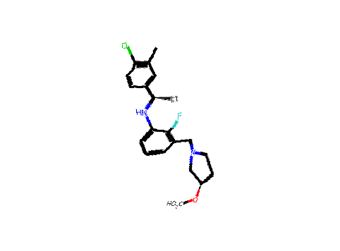 CC[C@@H](Nc1cccc(CN2CC[C@@H](OC(=O)O)C2)c1F)c1ccc(Cl)c(C)c1